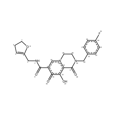 O=C(NCC1=CCCO1)c1cn2c(c(O)c1=O)C(=O)N(Cc1ccc(F)cc1)CC2